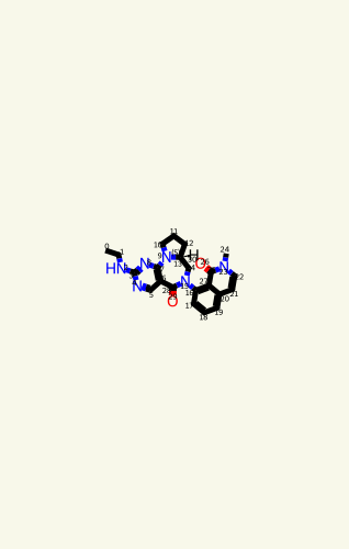 CCNc1ncc2c(n1)N1CCC[C@H]1CN(c1cccc3ccn(C)c(=O)c13)C2=O